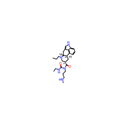 CCCN1C[C@H](C(=O)N(CCCNC)C(=O)NCC)C[C@@H]2c3cccc4[nH]cc(c34)C[C@H]21